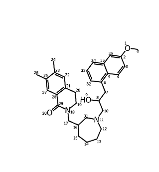 COc1ccc2c(CC(O)CN3CCCCC(CN4CCc5cc(C)c(C)cc5C4=O)C3)cccc2c1